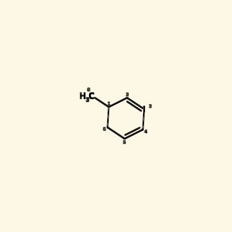 CC1C=IC=CC1